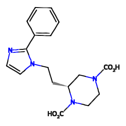 O=C(O)N1CCN(C(=O)O)[C@H](CCn2ccnc2-c2ccccc2)C1